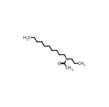 CCCCCCCCCCN(CCC)C(C)=O